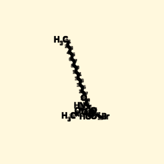 CCCCCCCCCCCCCCCCCCOCC(COP(=O)(O)OCCBr)NC(=O)OCC